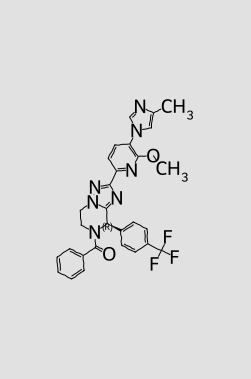 COc1nc(-c2nc3n(n2)CCN(C(=O)c2ccccc2)[C@@H]3c2ccc(C(F)(F)F)cc2)ccc1-n1cnc(C)c1